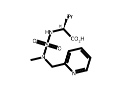 CC(C)[C@H](NS(=O)(=O)N(C)Cc1ccccn1)C(=O)O